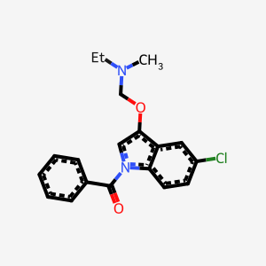 CCN(C)COc1cn(C(=O)c2ccccc2)c2ccc(Cl)cc12